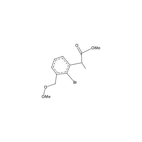 COOCc1cccc(C(C)C(=O)OC)c1Br